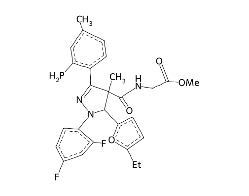 CCc1ccc(C2N(c3ccc(F)cc3F)N=C(c3ccc(C)cc3P)C2(C)C(=O)NCC(=O)OC)o1